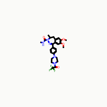 CNC(=O)N1N=C(c2ccc(N3CCN(C(=O)C(F)(F)F)CC3)cc2)c2cc(OC)c(OC)cc2CC1C